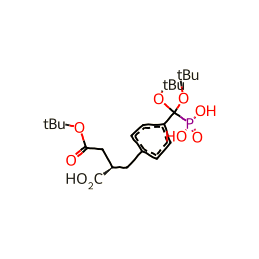 CC(C)(C)OC(=O)C[C@@H](Cc1ccc(C(OC(C)(C)C)(OC(C)(C)C)P(=O)(O)O)cc1)C(=O)O